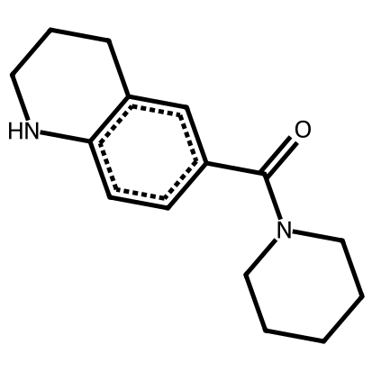 O=C(c1ccc2c(c1)CCCN2)N1CCCCC1